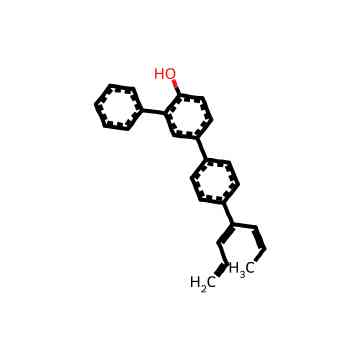 C=C/C=C(\C=C/C)c1ccc(-c2ccc(O)c(-c3ccccc3)c2)cc1